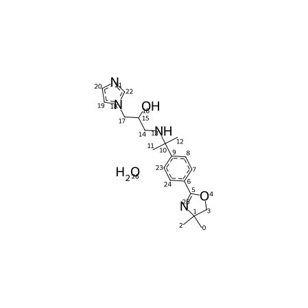 CC1(C)COC(c2ccc(C(C)(C)NCC(O)Cn3ccnc3)cc2)=N1.O